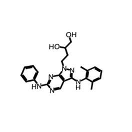 Cc1cccc(C)c1Nc1nn(CCC(O)CO)c2nc(Nc3ccccc3)ncc12